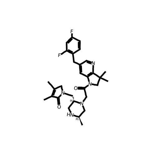 CC1=C(C)C(=O)N(C[C@H]2CN[C@H](C)CN2CC(=O)N2CC(C)(C)c3ncc(Cc4ccc(F)cc4F)cc32)C1